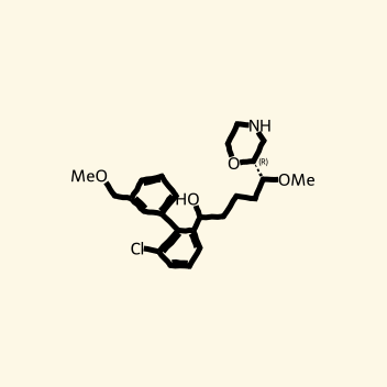 COCc1cccc(-c2c(Cl)cccc2C(O)CCCC(OC)[C@H]2CNCCO2)c1